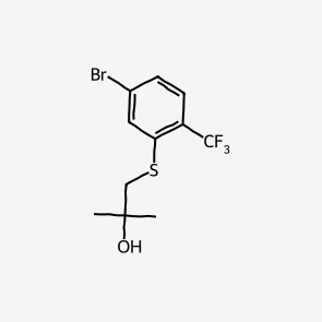 CC(C)(O)CSc1cc(Br)ccc1C(F)(F)F